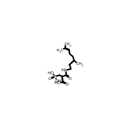 CC(C)=CCCC(C)CCNC(=O)C(CP(=O)(O)O)C(=O)O